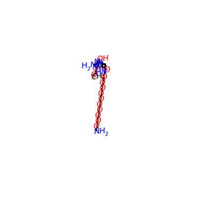 COCCOc1nc(N)c2nc(O)n(Cc3ccc(C(=O)NCCOCCOCCOCCOCCOCCOCCOCCOCCOCCOCCN)cc3)c2n1